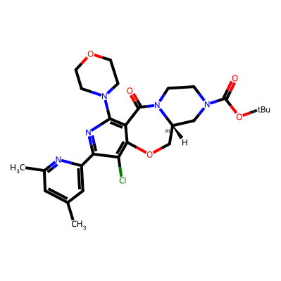 Cc1cc(C)nc(-c2nc(N3CCOCC3)c3c(c2Cl)OC[C@H]2CN(C(=O)OC(C)(C)C)CCN2C3=O)c1